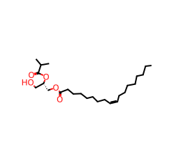 CCCCCCCC/C=C\CCCCCCCC(=O)OC[C@H](CO)OC(=O)C(C)C